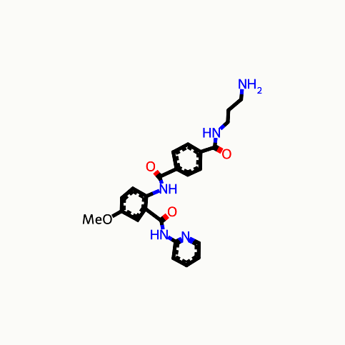 COc1ccc(NC(=O)c2ccc(C(=O)NCCCN)cc2)c(C(=O)Nc2ccccn2)c1